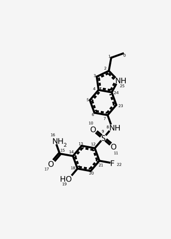 CCc1cc2ccc(NS(=O)(=O)c3cc(C(N)=O)c(O)cc3F)cc2[nH]1